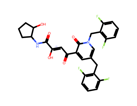 O=C(NC1CCCC1O)/C(O)=C/C(=O)c1cc(Cc2c(F)cccc2F)cn(Cc2c(F)cccc2F)c1=O